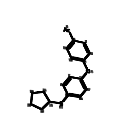 CC(=O)c1ccc(Oc2ccc(SC3CCCC3)cc2)cc1